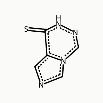 S=c1[nH]ncn2cncc12